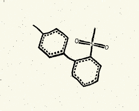 Cc1ccc(-c2[c]cccc2S(C)(=O)=O)cc1